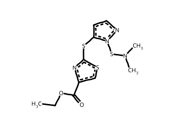 CCOC(=O)c1csc(Sc2ccnn2SN(C)C)n1